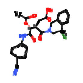 CC(=O)O[C@@H](C(=O)Nc1ccc(C#N)cc1)[C@@H](CC(=O)O)C(=O)N(CCCl)Cc1ccccc1C